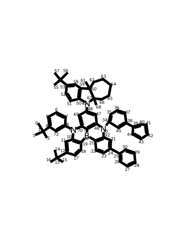 CC(C)(C)c1cccc(N2c3cc(C(C)(C)C)ccc3B3c4ccc(-c5ccccc5)cc4N(c4cccc(-c5ccccc5)c4)c4cc(N5c6ccc(C(C)(C)C)cc6C6(C)CCCCCC56C)cc2c43)c1